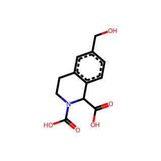 O=C(O)C1c2ccc(CO)cc2CCN1C(=O)O